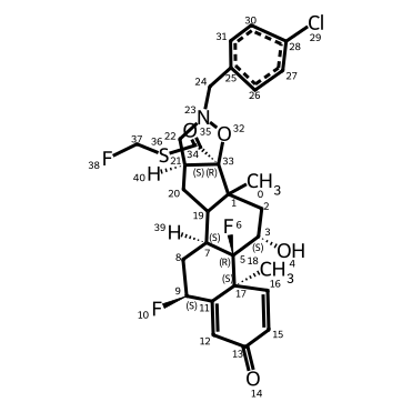 CC12C[C@H](O)[C@@]3(F)[C@@H](C[C@H](F)C4=CC(=O)C=C[C@@]43C)C1C[C@H]1CN(Cc3ccc(Cl)cc3)O[C@]12C(=O)SCF